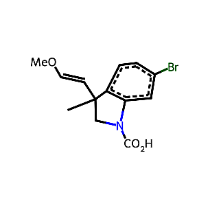 CO/C=C/C1(C)CN(C(=O)O)c2cc(Br)ccc21